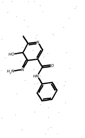 CC1=NC=C(C(=O)Nc2ccccc2)C(=NN)C1O